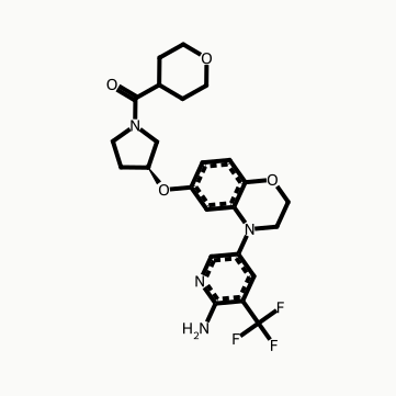 Nc1ncc(N2CCOc3ccc(O[C@H]4CCN(C(=O)C5CCOCC5)C4)cc32)cc1C(F)(F)F